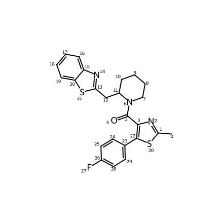 Cc1nc(C(=O)N2CCCCC2Cc2nc3ccccc3s2)c(-c2ccc(F)cc2)s1